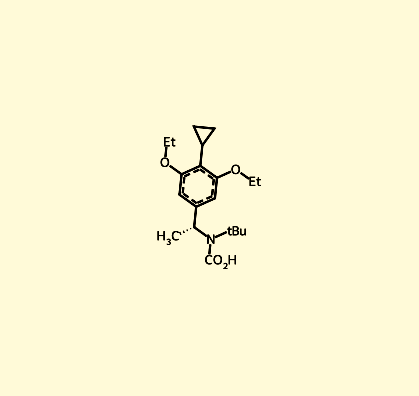 CCOc1cc([C@@H](C)N(C(=O)O)C(C)(C)C)cc(OCC)c1C1CC1